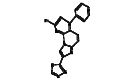 CC(C)c1cc(-c2ccccc2)c2ccc3nc(-c4nnco4)cn3c2n1